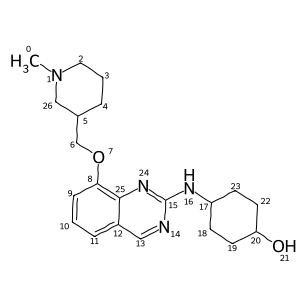 CN1CCCC(COc2cccc3cnc(NC4CCC(O)CC4)nc23)C1